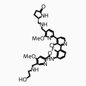 COc1cc(C(=O)Nc2cccc(-c3nccc(-c4ccc(CNC[C@H]5CCC(=O)N5)c(OC)n4)c3Cl)c2F)ncc1CNCCO